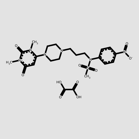 Cn1c(N2CCN(CCCN(c3ccc([N+](=O)[O-])cc3)S(C)(=O)=O)CC2)cc(=O)n(C)c1=O.O=C(O)C(=O)O